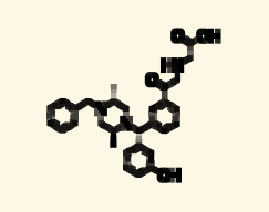 C[C@@H]1CN([C@@H](c2cccc(O)c2)c2cccc(C(=O)CNCC(=O)O)c2)[C@@H](C)CN1Cc1ccccc1